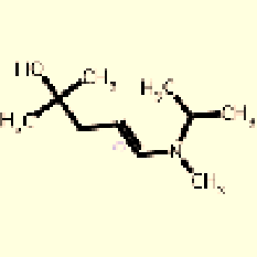 CC(C)N(C)/C=C/CC(C)(C)O